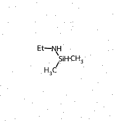 CCN[SiH](C)C